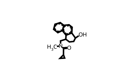 CN(CC1CCC(O)c2ccc3ccccc3c21)C(=O)C1CC1